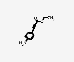 CCOC(=O)C#Cc1ccc(N)cc1